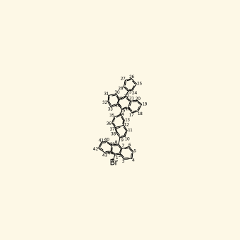 Brc1c2ccccc2c(-c2ccc3cc(-c4c5ccccc5c(-c5ccccc5)c5ccccc45)ccc3c2)c2ccccc12